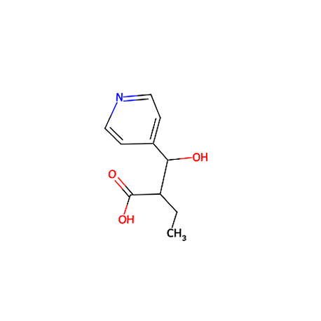 CCC(C(=O)O)C(O)c1ccncc1